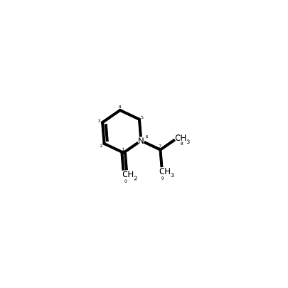 C=C1C=CCCN1C(C)C